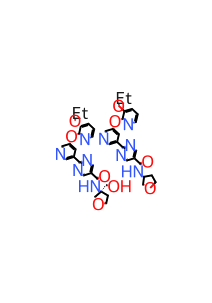 CCOc1cccnc1Oc1cncc(-c2ncc(C(=O)N[C@@]3(CO)CCOC3)cn2)c1.CCOc1cccnc1Oc1cncc(-c2ncc(C(=O)N[C@H]3CCOC3)cn2)c1